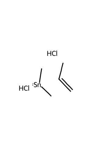 C=CC.Cl.Cl.[CH3][Sn][CH3]